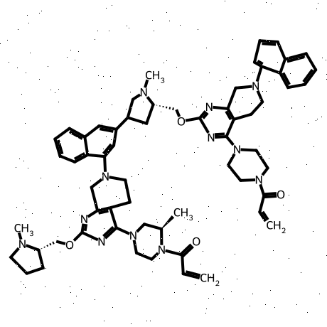 C=CC(=O)N1CCN(c2nc(OC[C@@H]3CC(c4cc(N5CCc6c(nc(OC[C@@H]7CCCN7C)nc6N6CCN(C(=O)C=C)[C@H](C)C6)C5)c5ccccc5c4)CN3C)nc3c2CCN(c2cccc4ccccc24)C3)CC1